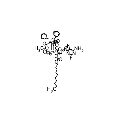 C#C[C@]1(CO[P@@](=O)(N[C@@H](Cc2ccccc2)C(=O)OC(C)C)Oc2ccccc2)O[C@@H](n2cnc3c(N)nc(F)nc32)C[C@@H]1OC(=O)OCCCCCCCCCC